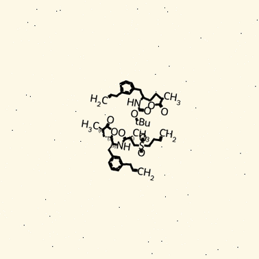 C=CCCS(=O)(=O)C[C@@H](C)C(=O)N[C@@H](Cc1cccc(CC=C)c1)[C@@H]1C[C@@H](C)C(=O)O1.C=CCc1cccc(CC(NC(=O)OC(C)(C)C)C2CC(C)C(=O)O2)c1